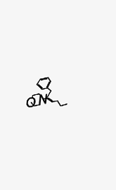 CCC/C=C(\Cc1ccccc1)N1CCOCC1